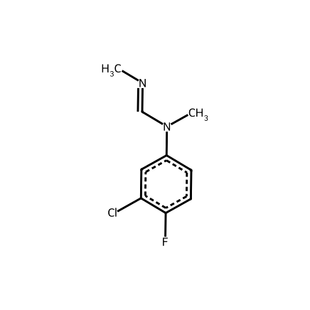 CN=CN(C)c1ccc(F)c(Cl)c1